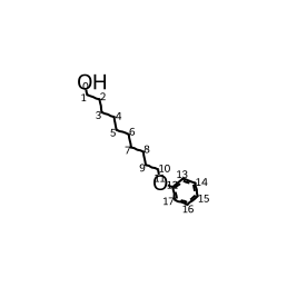 OCCCCCCCCCCOc1ccccc1